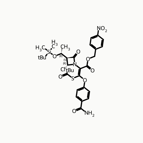 C[C@@H](O[Si](C)(C)C(C)(C)C)[C@H]1C(=O)N(C(C(=O)OCc2ccc([N+](=O)[O-])cc2)=C(Oc2ccc(C(N)=O)cc2)SC(=O)C(C)(C)C)[C@@H]1Cl